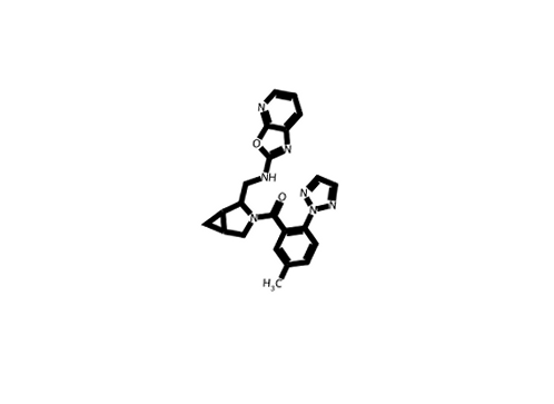 Cc1ccc(-n2nccn2)c(C(=O)N2CC3CC3C2CNc2nc3cccnc3o2)c1